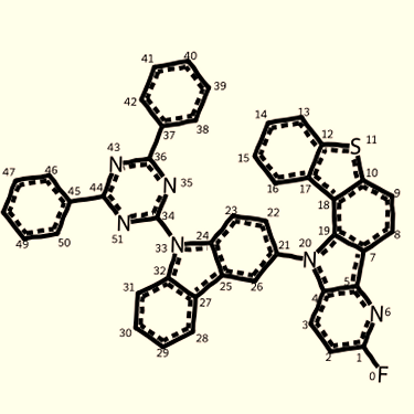 Fc1ccc2c(n1)c1ccc3sc4ccccc4c3c1n2-c1ccc2c(c1)c1ccccc1n2-c1nc(-c2ccccc2)nc(-c2ccccc2)n1